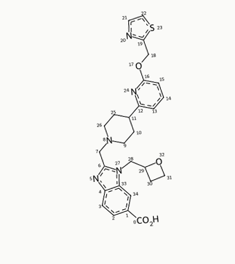 O=C(O)c1ccc2nc(CN3CCC(c4cccc(OCc5nccs5)n4)CC3)n(CC3CCO3)c2c1